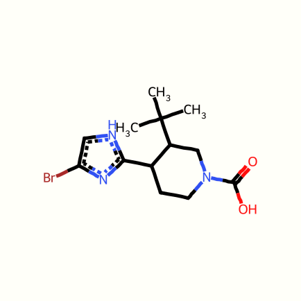 CC(C)(C)C1CN(C(=O)O)CCC1c1nc(Br)c[nH]1